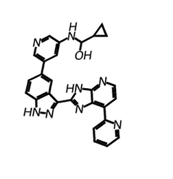 OC(Nc1cncc(-c2ccc3[nH]nc(-c4nc5c(-c6ccccn6)ccnc5[nH]4)c3c2)c1)C1CC1